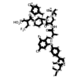 CC(NCc1c(F)cc(Cl)cc1Oc1ccc(-c2cnc(CN(C)C)n2C)cc1)C(=O)NC(CO[Si](C)(C)C(C)(C)C)C(=O)N(C)[C@@]1(Cc2ccc(Cl)cc2)CCCN(C(=O)C(CC(=O)O)CC(F)(F)F)C1